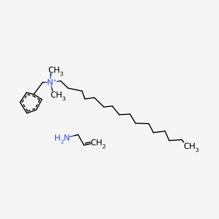 C=CCN.CCCCCCCCCCCCCCCC[N+](C)(C)Cc1ccccc1